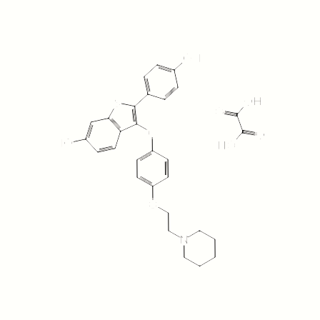 O=C(O)C(=O)O.Oc1ccc(-c2sc3cc(O)ccc3c2Oc2ccc(OCCN3CCCCC3)cc2)cc1